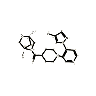 O=C(C1CCN(c2cnccc2-n2cc(Cl)cn2)CC1)N1C[C@H]2C[C@@H]1CO2